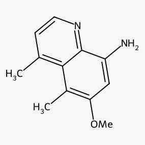 COc1cc(N)c2nccc(C)c2c1C